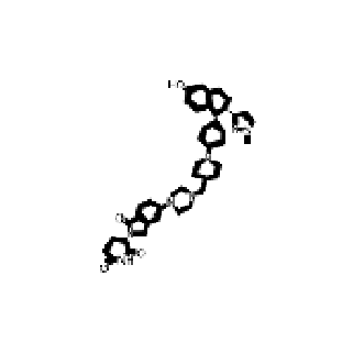 Cn1ccc([C@H]2CCc3cc(O)ccc3[C@H]2c2ccc(N3CCC(CN4CCN(c5ccc6c(c5)CN([C@H]5CCC(=O)NC5=O)C6=O)CC4)CC3)cc2)n1